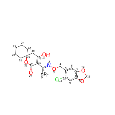 CCCC(=NOCc1cc2c(cc1Cl)OCO2)C1=C(O)CC2(CCCCC2)OC1=O